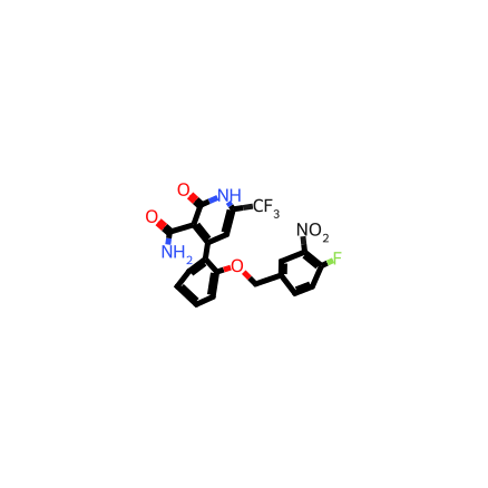 NC(=O)c1c(-c2ccccc2OCc2ccc(F)c([N+](=O)[O-])c2)cc(C(F)(F)F)[nH]c1=O